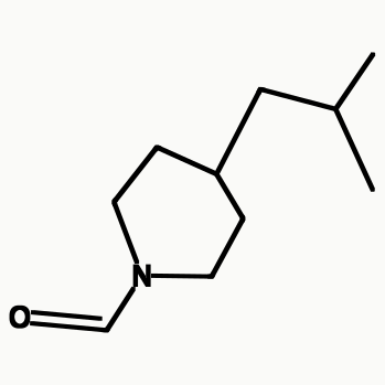 CC(C)CC1CCN(C=O)CC1